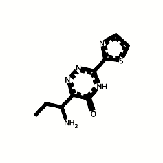 CCC(N)c1nnc(-c2nccs2)[nH]c1=O